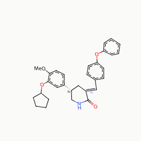 COc1ccc([C@H]2CNC(=O)/C(=C/c3ccc(Oc4ccccc4)cc3)C2)cc1OC1CCCC1